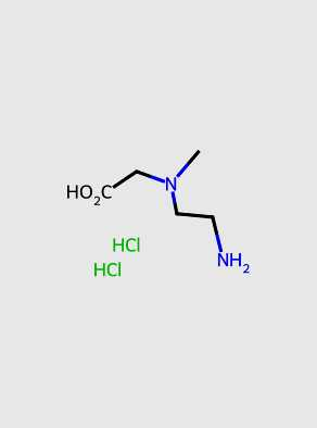 CN(CCN)CC(=O)O.Cl.Cl